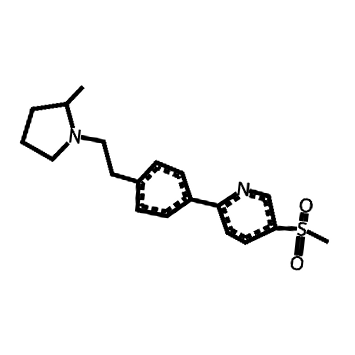 CC1CCCN1CCc1ccc(-c2ccc(S(C)(=O)=O)cn2)cc1